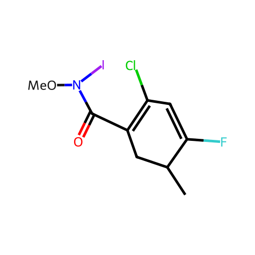 CON(I)C(=O)C1=C(Cl)C=C(F)C(C)C1